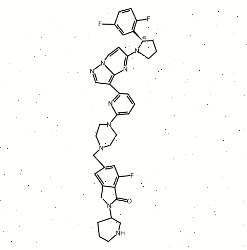 O=C1c2c(F)cc(CN3CCN(c4cccc(-c5cnn6ccc(N7CCC[C@@H]7c7cc(F)ccc7F)nc56)n4)CC3)cc2CN1C1CCCNC1